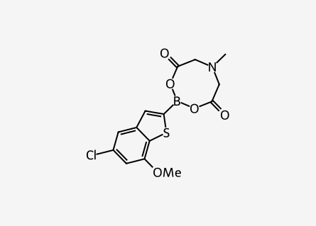 COc1cc(Cl)cc2cc(B3OC(=O)CN(C)CC(=O)O3)sc12